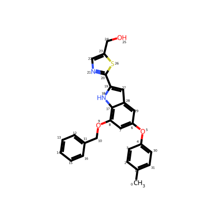 Cc1ccc(Oc2cc(OCc3ccccc3)c3[nH]c(-c4ncc(CO)s4)cc3c2)cc1